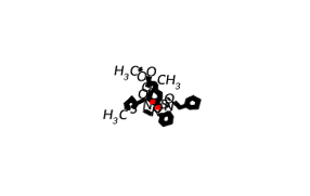 CCOC(=O)c1oc2ccc(S(=O)(=O)N(CCc3ccccc3)c3ccccc3N3CCN(C(=O)c4ccc(C)s4)CC3)cc2c1C